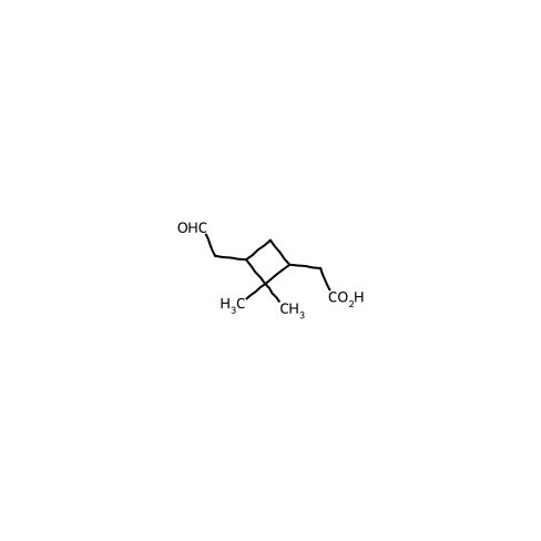 CC1(C)C(CC=O)CC1CC(=O)O